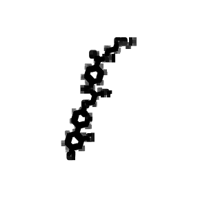 CC(C)[C@@H](COc1ccc(-c2ccc(Cl)cc2Cl)cn1)Nc1ccc(C(=O)NCCC(=O)O)cc1